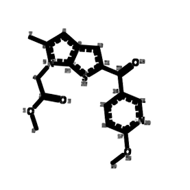 COC(=O)Cn1c(C)cc2cc(C(=O)c3ccc(OC)nc3)sc21